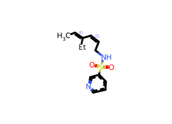 C/C=C(/C=C\CNS(=O)(=O)c1cccnc1)CC